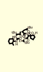 CC[C@@H](NC(=O)C(NC(=O)[C@H](CC(=O)[C@@H](NC(=O)NC1C(C)CCC[C@@H]1C)C(C)(C)C)CC(=O)C(C)(C)C)C1(C(=O)O)CCCC1)C(C)(C)C